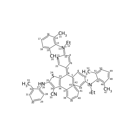 CCN(c1ccc(C(=C2C=CC(=[N+](CC)c3c(C)cccc3C)C=C2)c2sc(Nc3ccccc3C)c(C#N)c2-c2ccccc2)cc1)c1c(C)cccc1C